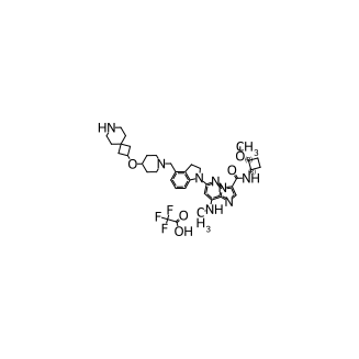 CNc1cc(N2CCc3c(CN4CCC(OC5CC6(CCNCC6)C5)CC4)cccc32)nn2c(C(=O)N[C@@H]3CC[C@H]3OC)cnc12.O=C(O)C(F)(F)F